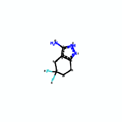 Nc1[nH]nc2c1CC(F)(F)CC2